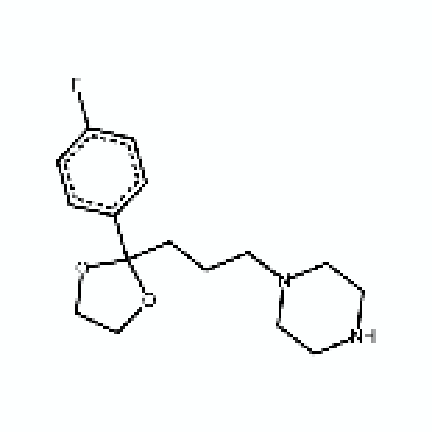 Fc1ccc(C2(CCCN3CCNCC3)OCCO2)cc1